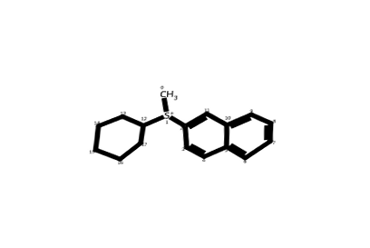 C[S+](c1ccc2ccccc2c1)C1CCCCC1